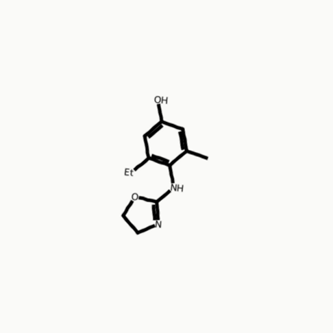 CCc1cc(O)cc(C)c1NC1=NCCO1